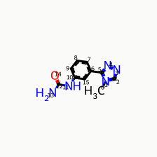 Cn1cnnc1-c1cccc(NC(N)=O)c1